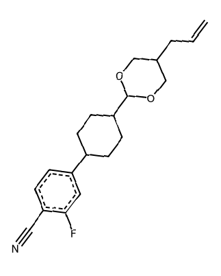 C=CCC1COC(C2CCC(c3ccc(C#N)c(F)c3)CC2)OC1